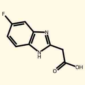 O=C(O)Cc1nc2cc(F)ccc2[nH]1